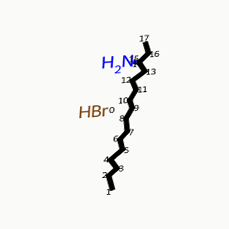 Br.CCCCCCCCCCCCCC(N)CC